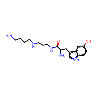 NCCCCNCCCNC(=O)C(N)Cc1c[nH]c2ccc(O)cc12